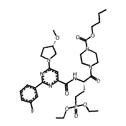 CCCCOC(=O)N1CCN(C(=O)[C@H](CCP(=O)(OCC)OCC)NC(=O)c2cc(N3CC[C@H](OC)C3)nc(-c3cccc(F)c3)n2)CC1